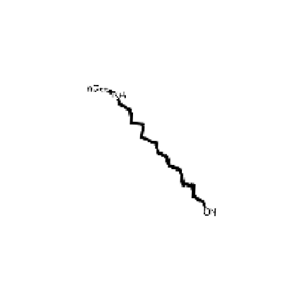 CCCCCCCCNCCCCCCCCCCCCCCO